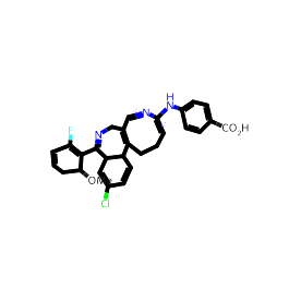 COC1CC=CC(F)=C1C1=NCC2=C(CC/C=C(Nc3ccc(C(=O)O)cc3)\N=C/2)C2C=CC(Cl)=CC12